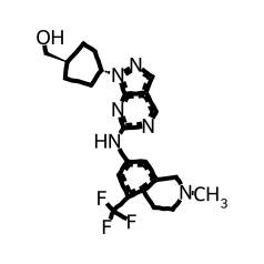 CN1CCc2c(cc(Nc3ncc4cnn([C@H]5CC[C@H](CO)CC5)c4n3)cc2C(F)(F)F)C1